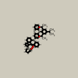 CC(C)c1cc(C(C)C)c(B2c3ccccc3Sc3cc(N4c5ccccc5C5(c6ccccc64)c4ccccc4[Si]4(C=CC=C4)c4ccccc45)ccc32)c(C(C)C)c1